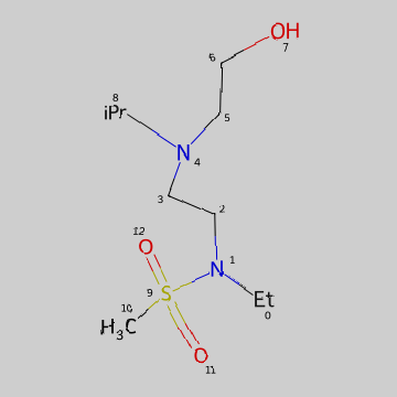 CCN(CCN(CCO)C(C)C)S(C)(=O)=O